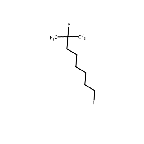 FC(F)(F)C(F)(CCCCCCI)C(F)(F)F